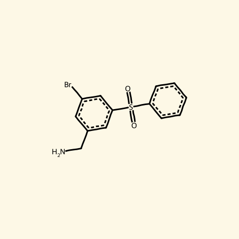 NCc1cc(Br)cc(S(=O)(=O)c2ccccc2)c1